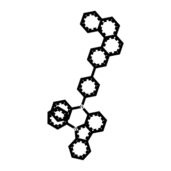 c1ccc(N(c2ccc(-c3ccc4c(ccc5ccc6ccccc6c54)c3)cc2)c2cccc3c4ccccc4n(-c4ccccc4)c23)cc1